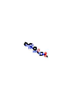 CCOC(=O)N1CCN(CC(=O)Nc2cccc(Nc3nccc(-c4ccccn4)n3)c2)CC1